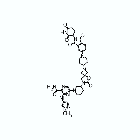 Cn1cc(Nc2nc(N3CCCC(N4CC5(CN(C6CCN(c7ccc8c(c7)C(=O)N(C7CCC(=O)NC7=O)C8=O)CC6)C5)OC4=O)C3)cnc2C(N)=O)cn1